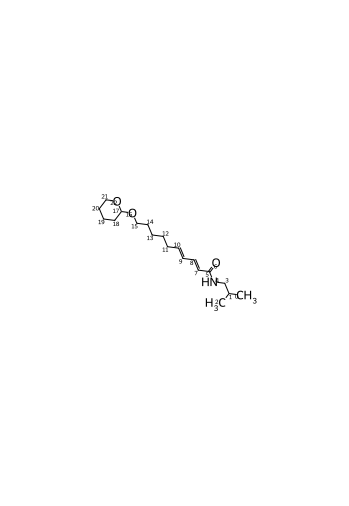 CC(C)CNC(=O)C=CC=CCCCCCOC1CCCCO1